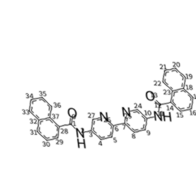 O=C(Nc1ccc(-c2ccc(NC(=O)c3cccc4ccccc34)cn2)nc1)c1cccc2ccccc12